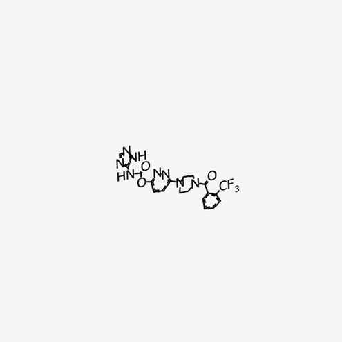 O=C(Nc1ncn[nH]1)Oc1ccc(N2CCN(C(=O)c3ccccc3C(F)(F)F)CC2)nn1